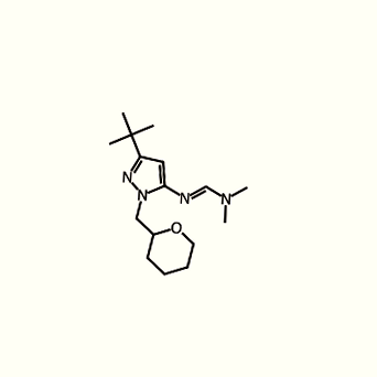 CN(C)C=Nc1cc(C(C)(C)C)nn1CC1CCCCO1